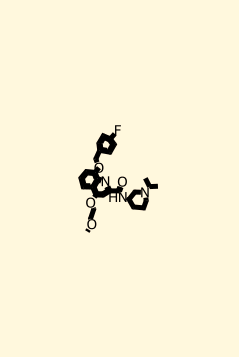 COCCOc1cc(C(=O)N[C@@H]2CCCN(C(C)C)C2)nc2c(OCc3ccc(F)cc3)cccc12